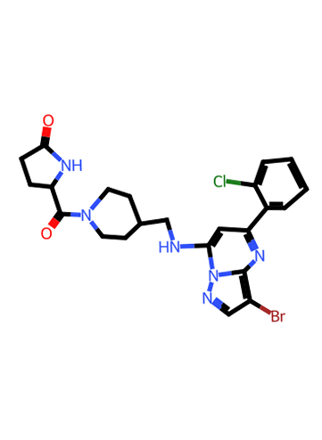 O=C1CCC(C(=O)N2CCC(CNc3cc(-c4ccccc4Cl)nc4c(Br)cnn34)CC2)N1